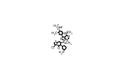 CC[C@@H](c1cc2scc(Cl)n2c(=O)c1-c1cccc(P)c1)n1nc(-c2ccc(OC(C)F)c(C)c2)c2c(NC)ncnc21